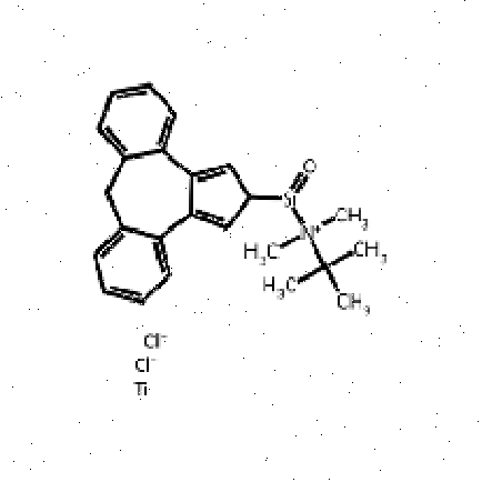 CC(C)(C)[N+](C)(C)[Si](=O)C1C=C2C(=C1)c1ccccc1Cc1ccccc12.[Cl-].[Cl-].[Ti]